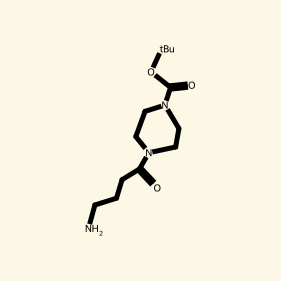 CC(C)(C)OC(=O)N1CCN(C(=O)CCCN)CC1